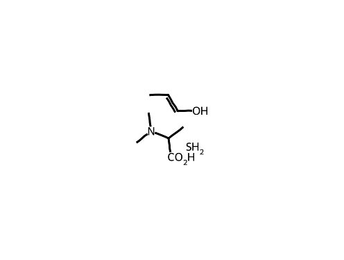 CC(C(=O)O)N(C)C.CC=CO.S